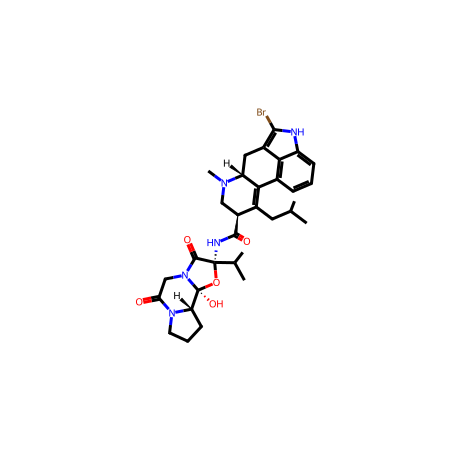 CC(C)CC1=C2c3cccc4[nH]c(Br)c(c34)C[C@H]2N(C)C[C@@H]1C(=O)N[C@]1(C(C)C)O[C@@]2(O)[C@@H]3CCCN3C(=O)CN2C1=O